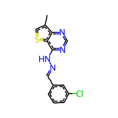 Cc1csc2c(NN=Cc3cccc(Cl)c3)ncnc12